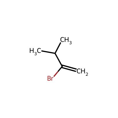 C=C(Br)C(C)C